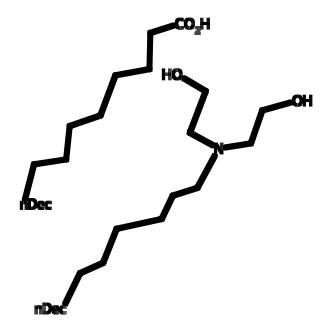 CCCCCCCCCCCCCCCCCC(=O)O.CCCCCCCCCCCCCCCCN(CCO)CCO